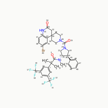 CN(C(=O)C(C)(C)c1cc(C(F)(F)F)cc(C(F)(F)F)c1)[C@@H]1CN(C(=O)N2CCC3(CC2)CC(=O)Nc2ccc(Br)cc23)C[C@H]1c1ccccc1